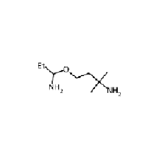 CCC(N)OCCC(C)(C)N